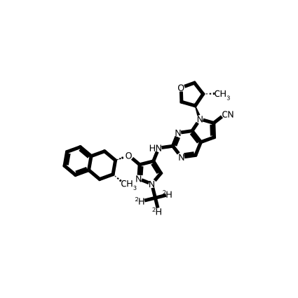 [2H]C([2H])([2H])n1cc(Nc2ncc3cc(C#N)n([C@H]4COC[C@@H]4C)c3n2)c(O[C@H]2Cc3ccccc3C[C@H]2C)n1